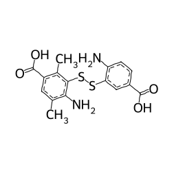 Cc1cc(C(=O)O)c(C)c(SSc2cc(C(=O)O)ccc2N)c1N